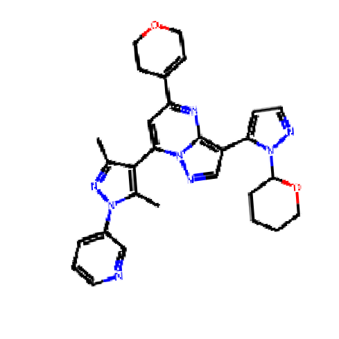 Cc1nn(-c2cccnc2)c(C)c1-c1cc(C2=CCOCC2)nc2c(-c3ccnn3C3CCCCO3)cnn12